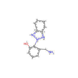 NCc1cccc(O)c1-n1nc2ccccc2n1